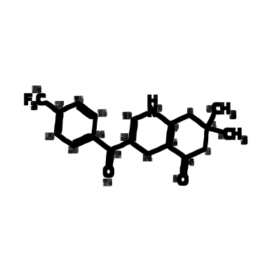 CC1(C)CC(=O)C2=C(C1)NC=C(C(=O)c1ccc(C(F)(F)F)cc1)C2